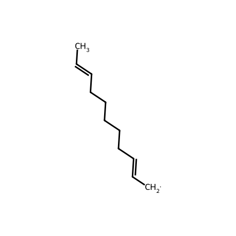 [CH2]C=CCCCCCC=CC